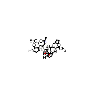 CCOC(=O)/C(F)=C\[C@@H](C[C@H]1CCNC1=O)NC(=O)[C@@H]1[C@@H]2CC[C@@H](CC2(F)F)N1C(=O)[C@H](CC1CCC1)NC(=O)C(F)(F)F